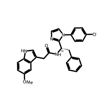 COc1ccc2[nH]cc(CC(=O)N[C@@H](Cc3ccccc3)c3nccn3-c3ccc(Cl)cc3)c2c1